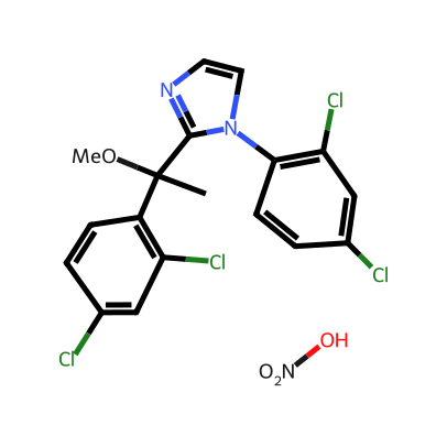 COC(C)(c1ccc(Cl)cc1Cl)c1nccn1-c1ccc(Cl)cc1Cl.O=[N+]([O-])O